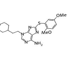 COc1ccc(OC)c(Sc2nc3c(N)ncn(CCC4CCOCC4)c-3n2)c1